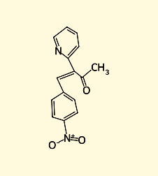 CC(=O)C(=Cc1ccc([N+](=O)[O-])cc1)c1ccccn1